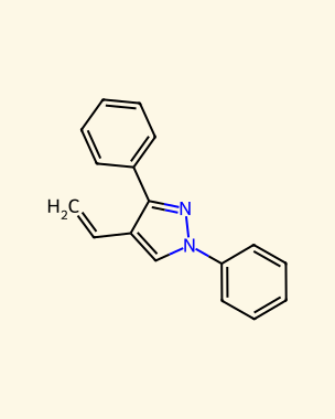 C=Cc1cn(-c2ccccc2)nc1-c1ccccc1